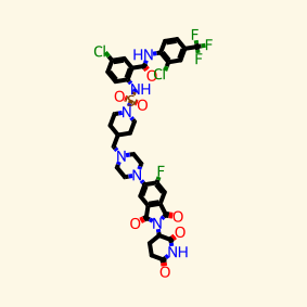 O=C1CCC(N2C(=O)c3cc(F)c(N4CCN(CC5CCN(S(=O)(=O)Nc6ccc(Cl)cc6C(=O)Nc6ccc(C(F)(F)F)cc6Cl)CC5)CC4)cc3C2=O)C(=O)N1